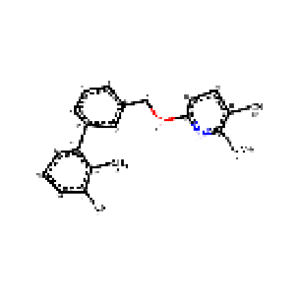 COc1nc(OCc2cccc(-c3cccc(C#N)c3C)c2)ccc1C#N